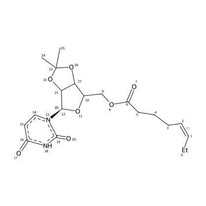 CC/C=C\CCCC(=O)OCC1O[C@@H](n2ccc(=O)[nH]c2=O)C2OC(C)(C)OC12